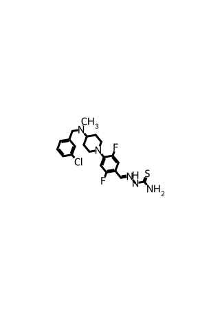 CN(Cc1cccc(Cl)c1)C1CCN(c2cc(F)c(C=NNC(N)=S)cc2F)CC1